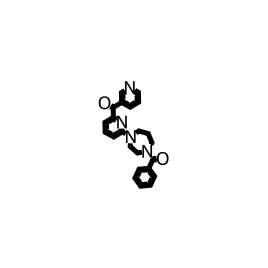 O=C(c1cccnc1)c1cccc(N2CCCN(C(=O)c3ccccc3)CC2)n1